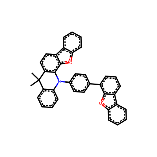 CC1(C)c2ccccc2N(c2ccc(-c3cccc4c3oc3ccccc34)cc2)c2c1ccc1c2oc2ccccc21